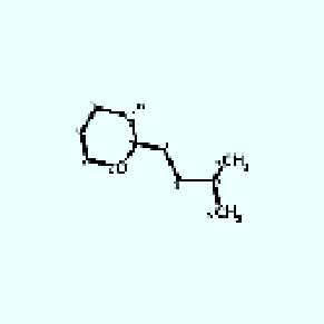 CC(C)CCC1OCCCO1